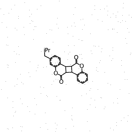 CC(C)Cc1ccc2c(c1)OC(=O)C1C3c4ccccc4OC(=O)C3C21